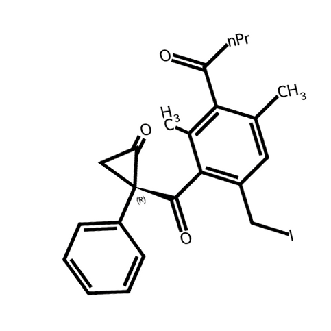 CCCC(=O)c1c(C)cc(CI)c(C(=O)[C@@]2(c3ccccc3)CC2=O)c1C